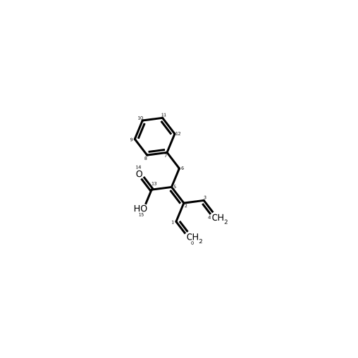 C=CC(C=C)=C(Cc1ccccc1)C(=O)O